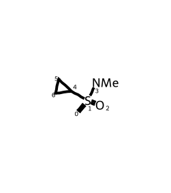 C=S(=O)(NC)C1CC1